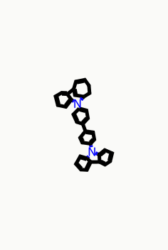 C1=CC2=CC(CC1)N(c1ccc(-c3ccc(-n4c5ccccc5c5ccccc54)cc3)cc1)c1ccccc12